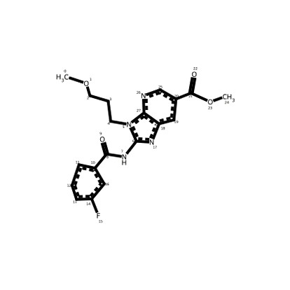 COCCCn1c(NC(=O)c2cccc(F)c2)nc2cc(C(=O)OC)cnc21